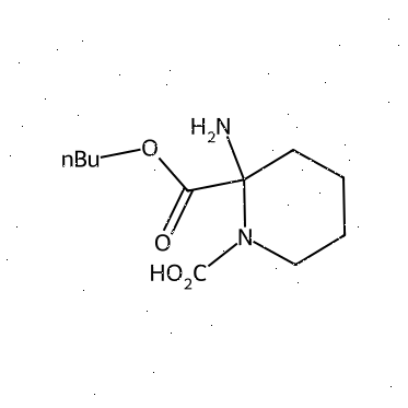 CCCCOC(=O)C1(N)CCCCN1C(=O)O